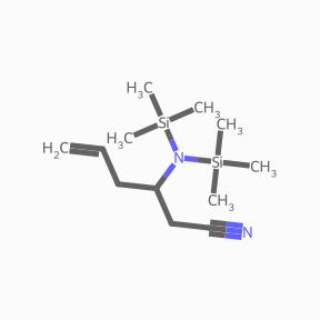 C=CCC(CC#N)N([Si](C)(C)C)[Si](C)(C)C